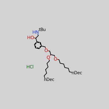 CCCCCCCCCCCCCCCCOCC(COCc1cccc(C(O)CNC(C)(C)C)c1)OCCCCCCCCCCCCCCCC.Cl